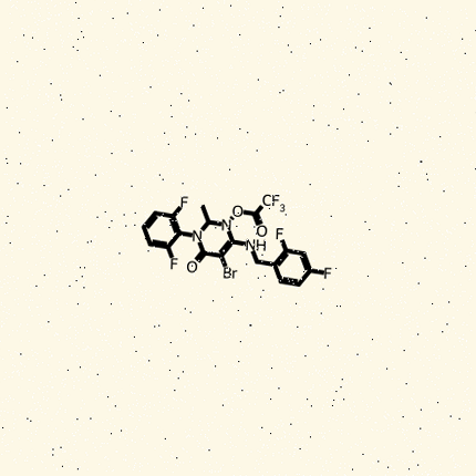 CC1N(OC(=O)C(F)(F)F)C(NCc2ccc(F)cc2F)=C(Br)C(=O)N1c1c(F)cccc1F